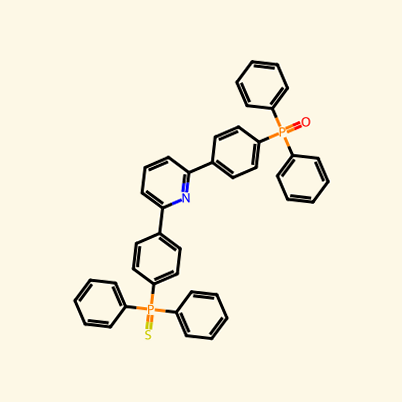 O=P(c1ccccc1)(c1ccccc1)c1ccc(-c2cccc(-c3ccc(P(=S)(c4ccccc4)c4ccccc4)cc3)n2)cc1